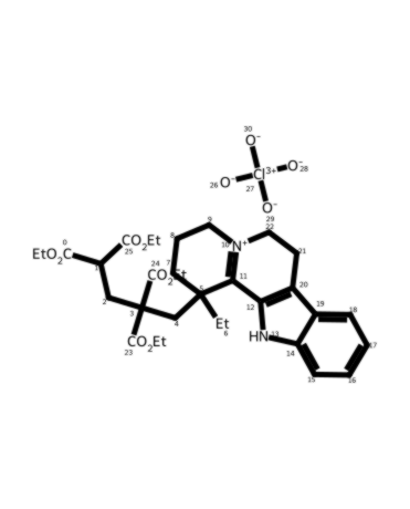 CCOC(=O)C(CC(CC1(CC)CCC[N+]2=C1c1[nH]c3ccccc3c1CC2)(C(=O)OCC)C(=O)OCC)C(=O)OCC.[O-][Cl+3]([O-])([O-])[O-]